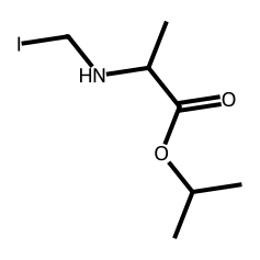 CC(C)OC(=O)C(C)NCI